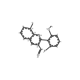 COc1cccc(F)c1-c1nc2c(C)cccc2cc1C=O